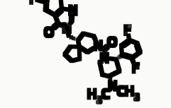 CN(C)[C@@H]1CCN(C(=O)N2CC[C@@H](Cn3cnc4ccc(F)cc4c3=O)C3(CCCC3)C2)[C@H](c2cc(F)ccc2F)C1